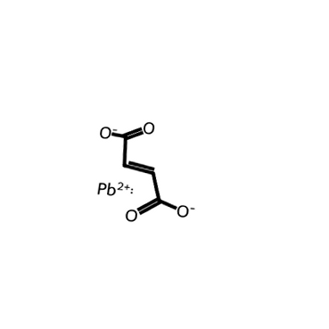 O=C([O-])C=CC(=O)[O-].[Pb+2]